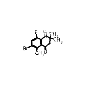 Cc1c(Br)cc(F)c2c1C(=O)CC(C)(C)N2